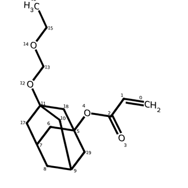 C=CC(=O)OC12CC3CC(CC(OCOCC)(C3)C1)C2